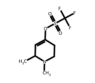 CC1C=C(OS(=O)(=O)C(F)(F)F)CCN1C